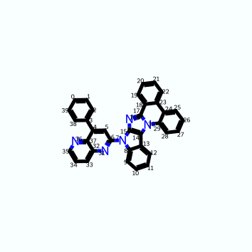 c1ccc(-c2cc(-n3c4ccccc4c4c3nc3c5ccccc5c5ccccc5n34)nc3cccnc23)cc1